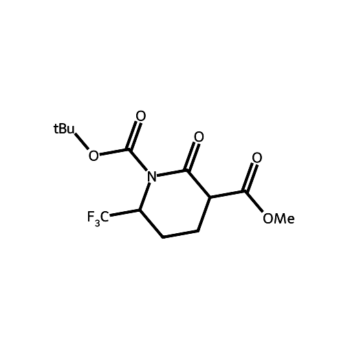 COC(=O)C1CCC(C(F)(F)F)N(C(=O)OC(C)(C)C)C1=O